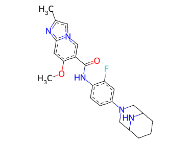 COc1cc2nc(C)cn2cc1C(=O)Nc1ccc(N2CC3CCCC(C2)N3)cc1F